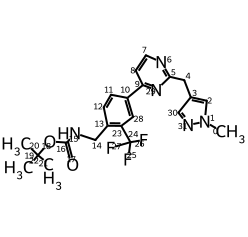 Cn1cc(Cc2nccc(-c3ccc(CNC(=O)OC(C)(C)C)c(C(F)(F)F)c3)n2)cn1